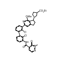 CCOC(=O)C1CCN(C2CCc3cc(-c4cccc(-c5cccc(NC(=O)c6ccnn(C)c6=O)c5Cl)c4Cl)nc(OC)c32)C1